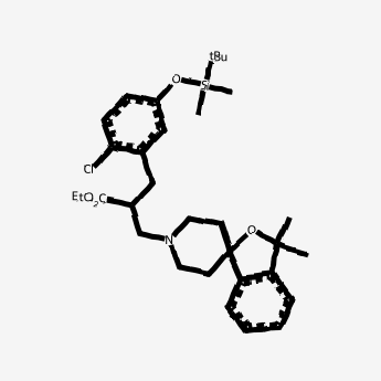 CCOC(=O)C(Cc1cc(O[Si](C)(C)C(C)(C)C)ccc1Cl)CN1CCC2(CC1)OC(C)(C)c1ccccc12